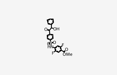 COC(=O)c1cc(F)c(NS(=O)(=O)c2ccc(C(=O)C(O)c3ccccc3)cc2)cc1F